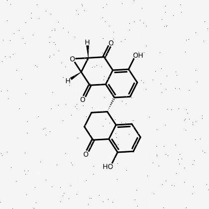 O=C1CC[C@H](c2ccc(O)c3c2C(=O)[C@@H]2O[C@@H]2C3=O)c2cccc(O)c21